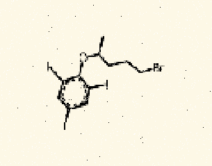 CC(CCCBr)Oc1c(I)cc(I)cc1I